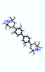 CC1(C)CC(c2ccc(-c3cc(F)c(C4CC(C)(C)NC(C)(C)C4)c(F)c3)cc2F)CC(C)(C)N1